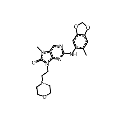 Cc1cc2c(cc1Nc1ncc3c(n1)n(CCN1CCOCC1)c(=O)n3C)OCO2